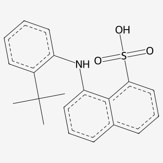 CC(C)(C)c1ccccc1Nc1cccc2cccc(S(=O)(=O)O)c12